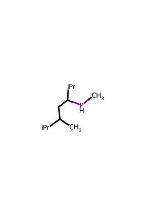 CPC(CC(C)C(C)C)C(C)C